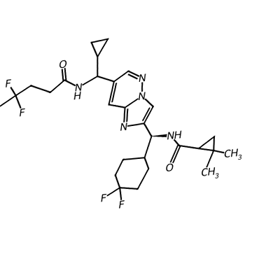 CC1(C)CC1C(=O)N[C@H](c1cn2ncc(C(NC(=O)CCC(F)(F)F)C3CC3)cc2n1)C1CCC(F)(F)CC1